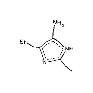 CCc1nc(C)[nH]c1N